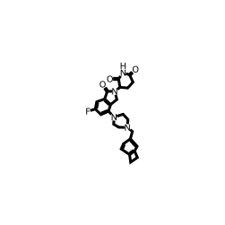 O=C1CCC(N2Cc3c(cc(F)cc3N3CCN(Cc4ccc5c(c4)CC5)CC3)C2=O)C(=O)N1